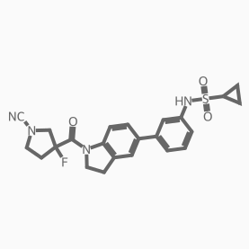 N#CN1CCC(F)(C(=O)N2CCc3cc(-c4cccc(NS(=O)(=O)C5CC5)c4)ccc32)C1